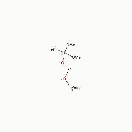 CCCCCOCO[Si](CCCC)(OC)OC